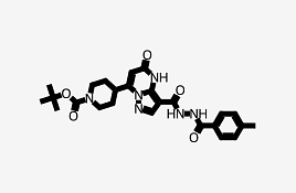 Cc1ccc(C(=O)NNC(=O)c2cnn3c(C4CCN(C(=O)OC(C)(C)C)CC4)cc(=O)[nH]c23)cc1